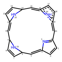 C1=CC2=NC1=CC1C=CC(C=C3C=CC(C=c4ccc([nH]4)=C2)N3)N1